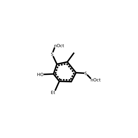 CCCCCCCCSc1cc(CC)c(O)c(SCCCCCCCC)c1C